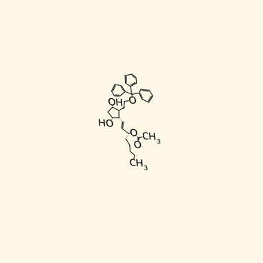 CCCCC[C@H](/C=C/[C@H]1[C@H](CCOC(c2ccccc2)(c2ccccc2)c2ccccc2)[C@@H](O)C[C@H]1O)OC(C)=O